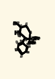 CCC1CCC(OC)(OC)C(c2ccccc2)N1